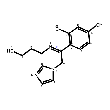 OCCC/N=C(\Cn1ccnc1)c1ccc(Cl)cc1Cl